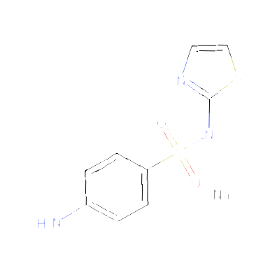 Nc1ccc(S(=O)(=O)[N-]c2nccs2)cc1.[Na+]